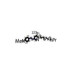 CCCOCCOCCOc1ncc(/C=C/c2ccc(NC)cc2)cc1[123I]